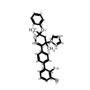 CC1(Oc2ccccc2)CC(C)(n2cncn2)C(c2ccc(-c3cccc(Br)c3F)cc2)=NO1